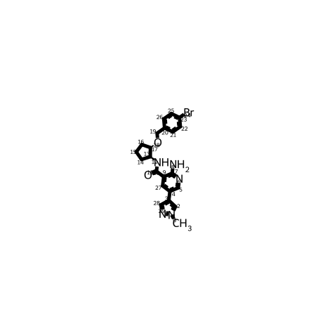 Cn1cc(-c2cnc(N)c(C(=O)N[C@H]3CCC[C@@H]3OCc3ccc(Br)cc3)c2)cn1